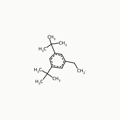 [CH2]Cc1cc(C(C)(C)C)cc(C(C)(C)C)c1